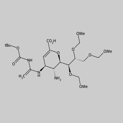 C=C(NC(=O)OC(C)(C)C)N[C@H]1C=C(C(=O)O)O[C@@H]([C@H](OCOC)[C@@H](COCOC)OCOC)[C@@H]1N